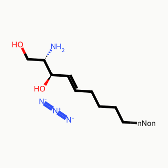 CCCCCCCCCCCCC/C=C/[C@@H](O)[C@@H](N)CO.[N-]=[N+]=[N-]